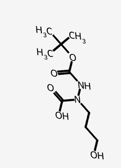 CC(C)(C)OC(=O)NN(CCCO)C(=O)O